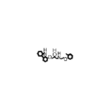 Cc1ccccc1OCCNCC(O)COc1cccc2c1[nH]c1ccccc12